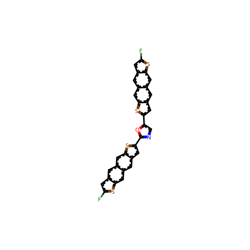 Fc1cc2cc3cc4sc(-c5cnc(-c6cc7cc8cc9sc(F)cc9cc8cc7s6)o5)cc4cc3cc2s1